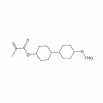 C=C(C)C(=O)OC1CCC(C2CCC(OC=O)CC2)CC1